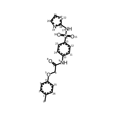 Cc1ccc(OCC(=O)Nc2ccc(S(=O)(=O)Nc3nccs3)cc2)cc1